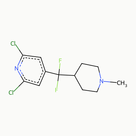 CN1CCC(C(F)(F)c2cc(Cl)nc(Cl)c2)CC1